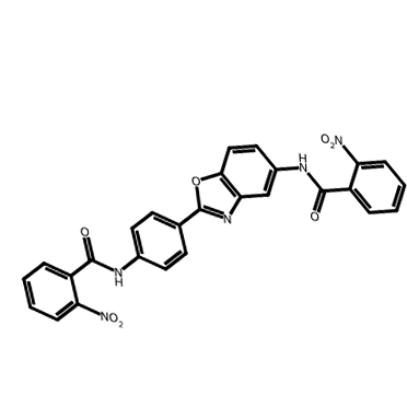 O=C(Nc1ccc(-c2nc3cc(NC(=O)c4ccccc4[N+](=O)[O-])ccc3o2)cc1)c1ccccc1[N+](=O)[O-]